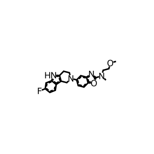 COCCN(C)c1nc2cc(N3CCc4[nH]c5cc(F)ccc5c4C3)ccc2o1